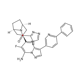 Nc1c(F)c([C@H]2C[C@H]3CC[C@@H](C2)N3C(=O)c2nnc[nH]2)nc2c(-c3ccc(-c4ccccc4)nc3)cnn12